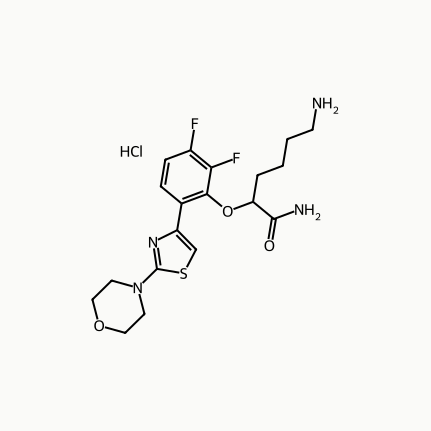 Cl.NCCCCC(Oc1c(-c2csc(N3CCOCC3)n2)ccc(F)c1F)C(N)=O